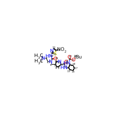 CN(C)CCN(Cc1ccc(C(=O)Nc2ccccc2NC(=O)OC(C)(C)C)nc1)C(=O)Nc1ncc([N+](=O)[O-])s1